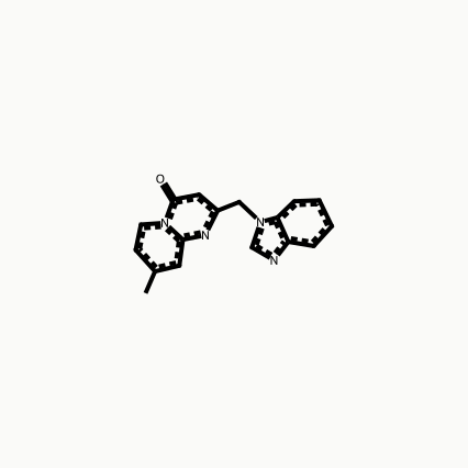 Cc1ccn2c(=O)cc(Cn3cnc4ccccc43)nc2c1